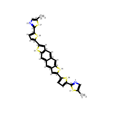 Cc1cnc(-c2ccc(-c3cc4cc5cc6sc(-c7ccc(-c8ncc(C)s8)s7)cc6cc5cc4s3)s2)s1